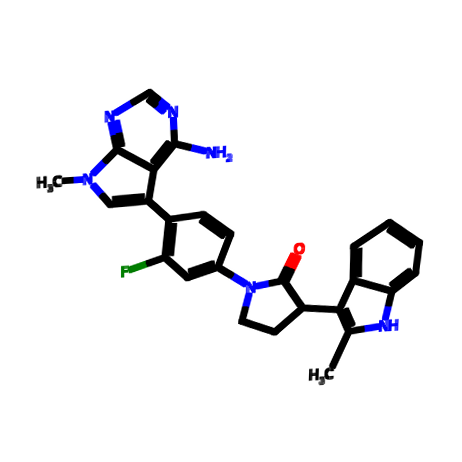 Cc1[nH]c2ccccc2c1C1CCN(c2ccc(-c3cn(C)c4ncnc(N)c34)c(F)c2)C1=O